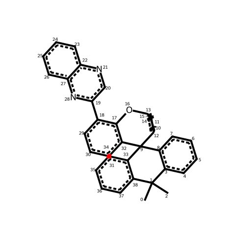 CC1(C)c2ccccc2C2(c3ccccc3Oc3c(-c4cnc5ccccc5n4)cccc32)c2ccccc21